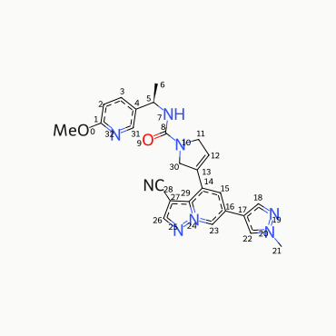 COc1ccc([C@@H](C)NC(=O)N2CC=C(c3cc(-c4cnn(C)c4)cn4ncc(C#N)c34)C2)cn1